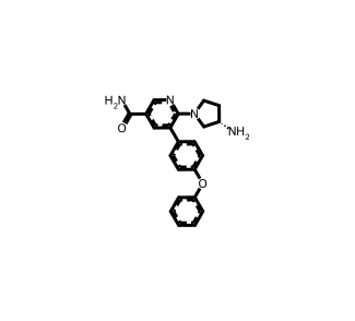 NC(=O)c1cnc(N2CC[C@H](N)C2)c(-c2ccc(Oc3ccccc3)cc2)c1